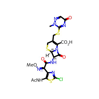 CO/N=C(\C(=O)N[C@@H]1C(=O)N2C(C(=O)O)=C(CSc3nc(=O)cnn3C)CS[C@H]12)c1nc(Cl)sc1NC(C)=O